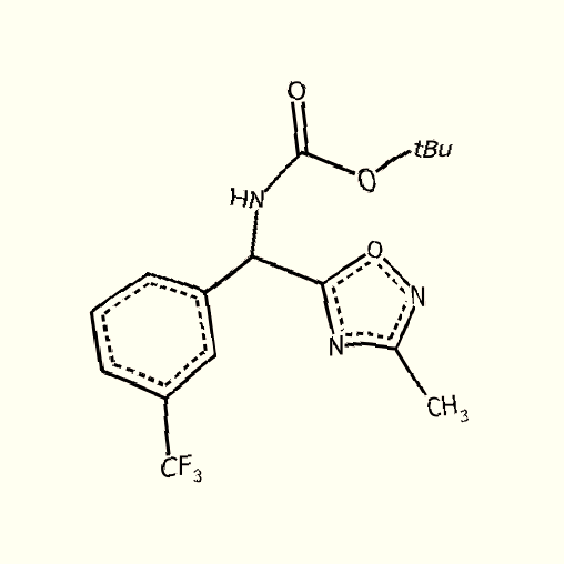 Cc1noc(C(NC(=O)OC(C)(C)C)c2cccc(C(F)(F)F)c2)n1